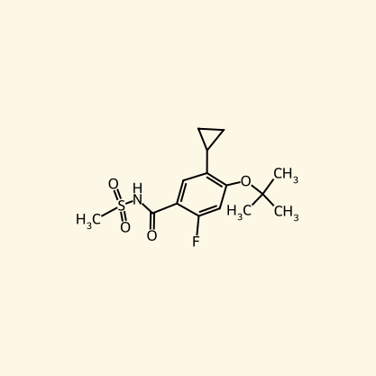 CC(C)(C)Oc1cc(F)c(C(=O)NS(C)(=O)=O)cc1C1CC1